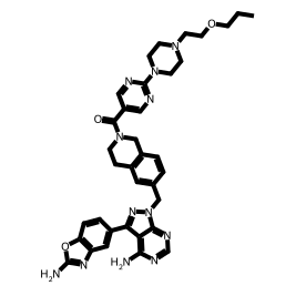 CCCOCCN1CCN(c2ncc(C(=O)N3CCc4cc(Cn5nc(-c6ccc7oc(N)nc7c6)c6c(N)ncnc65)ccc4C3)cn2)CC1